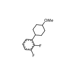 COC1CCC(c2cccc(F)c2F)CC1